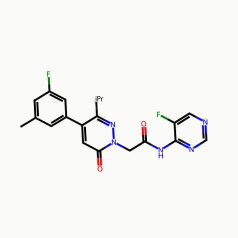 Cc1cc(F)cc(-c2cc(=O)n(CC(=O)Nc3ncncc3F)nc2C(C)C)c1